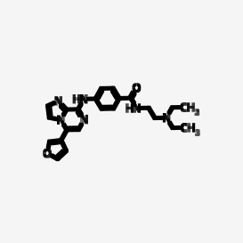 CCN(CC)CCNC(=O)c1ccc(Nc2ncc(-c3ccoc3)n3ccnc23)cc1